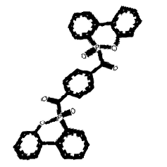 O=C(c1ccc(C(=O)P2(=O)Oc3ccccc3-c3ccccc32)cc1)P1(=O)Oc2ccccc2-c2ccccc21